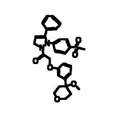 COC1(c2cccc(OCC(=O)N3CC=C(c4ccccc4)N3c3ccc(S(C)(=O)=O)cc3)c2)CCOCC1